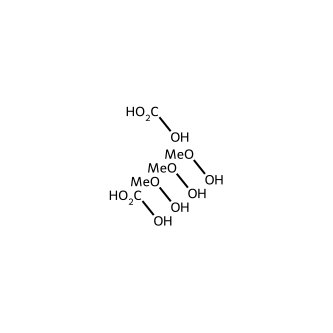 COO.COO.COO.O=C(O)O.O=C(O)O